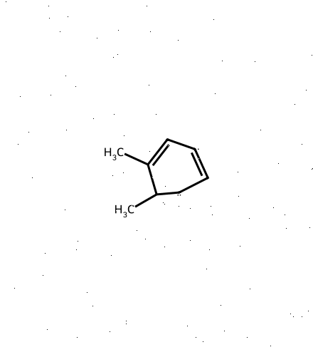 CC1=C[C]=C[C]C1C